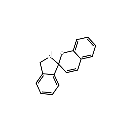 C1=CC2(NCc3ccccc32)Oc2ccccc21